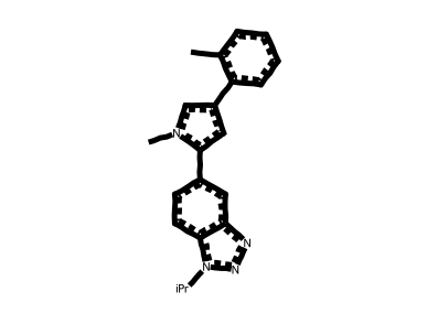 Cc1ccccc1-c1cc(-c2ccc3c(c2)nnn3C(C)C)n(C)c1